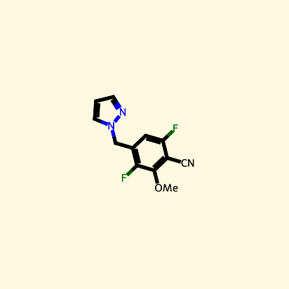 COc1c(F)c(Cn2cccn2)cc(F)c1C#N